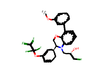 O[C@H](CF)CN1c2cccc(-c3cccc(OC(F)(F)F)c3)c2OCC1[C@@H]1C=C(OC(F)(F)C(F)F)C=CC1